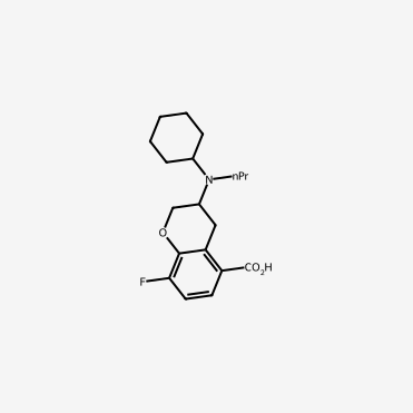 CCCN(C1CCCCC1)C1COc2c(F)ccc(C(=O)O)c2C1